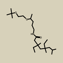 CCC(C)(CC(=O)NCCCC(C)OCCOC(C)(C)C)CC(C)(CC)CC(C)C